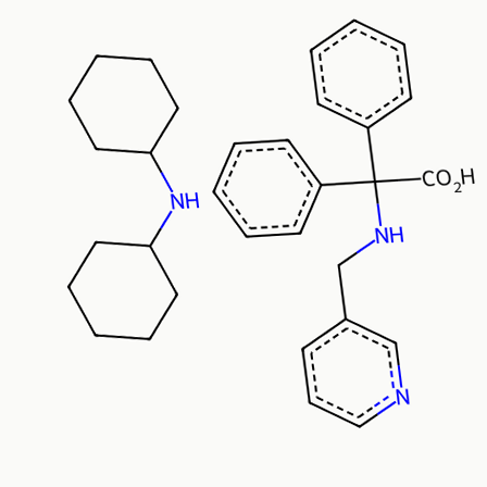 C1CCC(NC2CCCCC2)CC1.O=C(O)C(NCc1cccnc1)(c1ccccc1)c1ccccc1